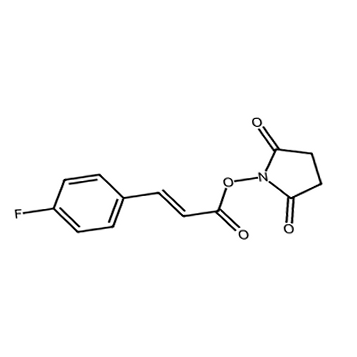 O=C(C=Cc1ccc(F)cc1)ON1C(=O)CCC1=O